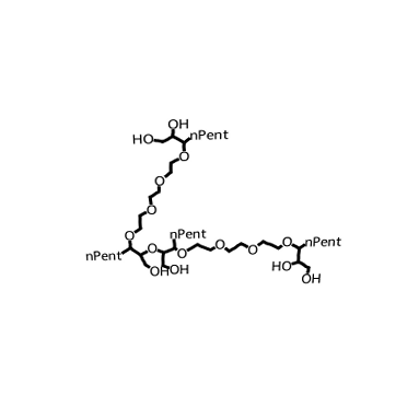 CCCCCC(OCCOCCOCCOC(CCCCC)C(CO)OC(CO)C(CCCCC)OCCOCCOCCOC(CCCCC)C(O)CO)C(O)CO